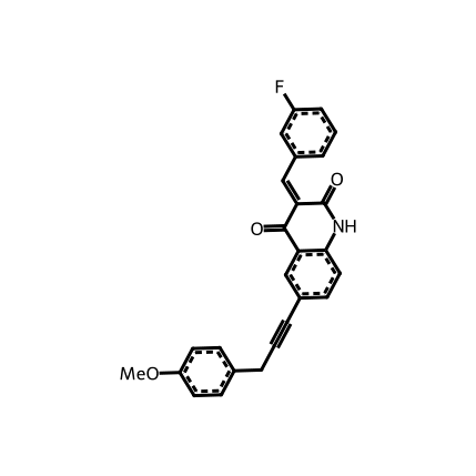 COc1ccc(CC#Cc2ccc3c(c2)C(=O)/C(=C/c2cccc(F)c2)C(=O)N3)cc1